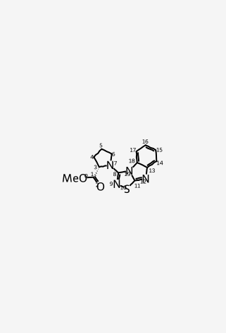 COC(=O)[C@@H]1CCCN1c1nsc2nc3ccccc3n12